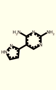 Nc1ncc(-c2cc[nH]n2)c(N)n1